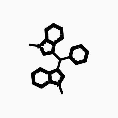 Cn1cc(C(c2ccccc2)c2cn(C)c3ccccc23)c2ccccc21